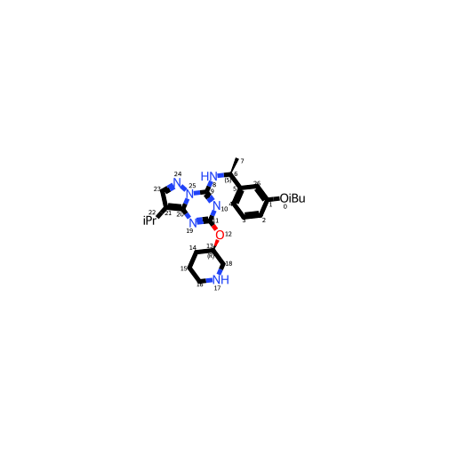 CC(C)COc1cccc([C@H](C)Nc2nc(O[C@@H]3CCCNC3)nc3c(C(C)C)cnn23)c1